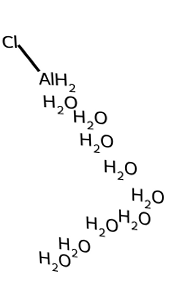 O.O.O.O.O.O.O.O.O.[AlH2][Cl]